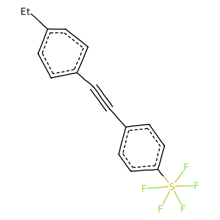 CCc1ccc(C#Cc2ccc(S(F)(F)(F)(F)F)cc2)cc1